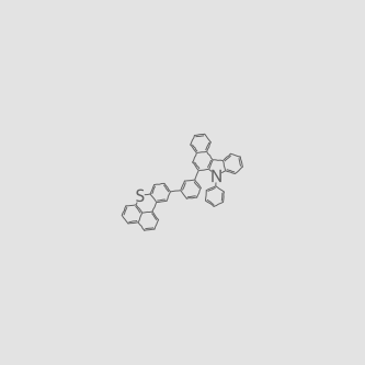 c1ccc(-n2c3ccccc3c3c4ccccc4cc(-c4cccc(-c5ccc6c(c5)-c5cccc7cccc(c57)S6)c4)c32)cc1